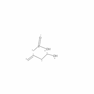 C=CCCO.CC(=O)O